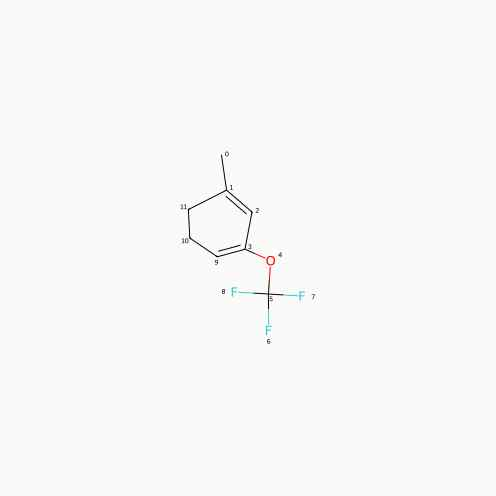 CC1=CC(OC(F)(F)F)=CCC1